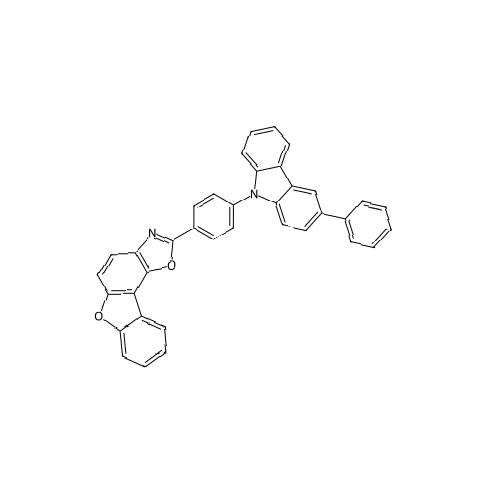 c1ccc(-c2ccc3c(c2)c2ccccc2n3-c2ccc(-c3nc4ccc5oc6ccccc6c5c4o3)cc2)cc1